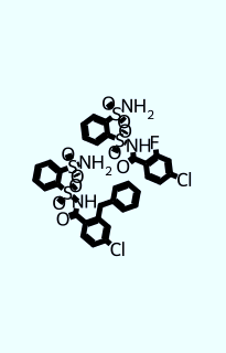 NS(=O)(=O)c1ccccc1S(=O)(=O)NC(=O)c1ccc(Cl)cc1Cc1ccccc1.NS(=O)(=O)c1ccccc1S(=O)(=O)NC(=O)c1ccc(Cl)cc1F